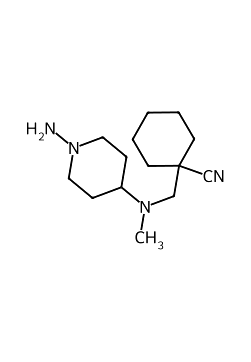 CN(CC1(C#N)CCCCC1)C1CCN(N)CC1